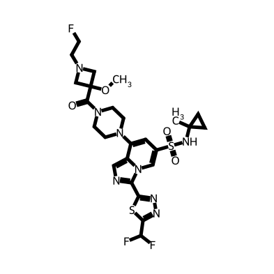 COC1(C(=O)N2CCN(c3cc(S(=O)(=O)NC4(C)CC4)cn4c(-c5nnc(C(F)F)s5)ncc34)CC2)CN(CCF)C1